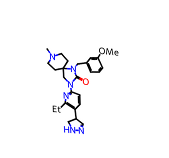 CCc1nc(N2CC3(CCN(C)CC3)N(Cc3cccc(OC)c3)C2=O)ccc1C1C=NNC1